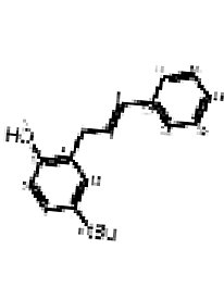 CC(C)(C)c1ccc(O)c(CC=Cc2ccccc2)c1